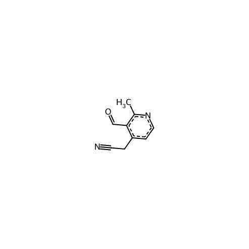 Cc1nccc(CC#N)c1C=O